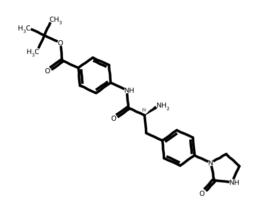 CC(C)(C)OC(=O)c1ccc(NC(=O)[C@@H](N)Cc2ccc(N3CCNC3=O)cc2)cc1